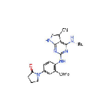 CC[C@@H](C)Nc1nc(Nc2ccc(N3CCCC3=O)cc2OC)nc2[nH]cc(C#N)c12